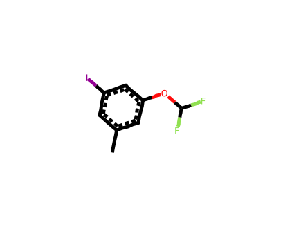 Cc1cc(I)cc(OC(F)F)c1